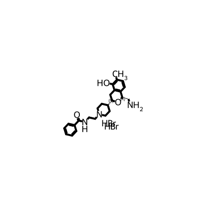 Br.Br.Cc1ccc2c(c1O)C[C@@H](C1CCN(CCNC(=O)c3ccccc3)CC1)O[C@H]2CN